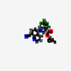 CCOC(=O)[C@]12CN(c3ccc(C#N)c4ncccc34)C[C@@]1(C(F)(F)F)C2